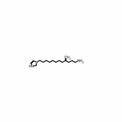 C=C(CCCN)CCCCCCCCN1C=CNC1